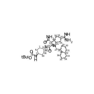 CC(C)(C)OC(=O)N[C@H]1CC[C@H](NC(=O)c2c(C(N)=O)c3ccc(C(=N)N)cc3n2Cc2cccc3ccccc23)CC1